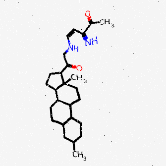 CC(=O)C(=N)/C=C\NCC(=O)C1CCC2C3CCC4CC(C)CCC4C3CCC12C